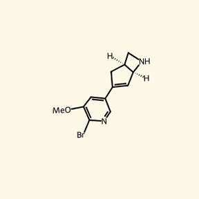 COc1cc(C2=C[C@@H]3NC[C@@H]3C2)cnc1Br